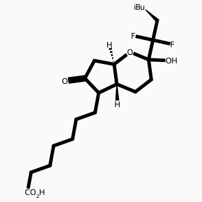 CC[C@H](C)CC(F)(F)C1(O)CC[C@@H]2C(CCCCCCC(=O)O)C(=O)C[C@H]2O1